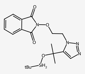 CC(C)(C)[SiH2]OC(C)(C)c1cnnn1CCON1C(=O)c2ccccc2C1=O